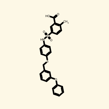 Cc1ccc(S(=O)(=O)Nc2ccc(SCc3cccc(Oc4ccccc4)c3)cc2)cc1C(=O)O